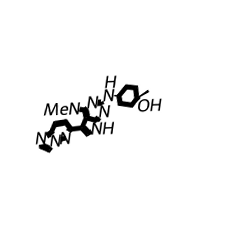 CNc1nc(N[C@H]2CC[C@@](C)(O)CC2)nc2[nH]cc(-c3ccc4nccn4n3)c12